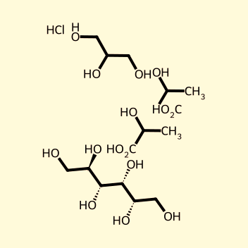 CC(O)C(=O)O.CC(O)C(=O)O.Cl.OCC(O)CO.OC[C@@H](O)[C@@H](O)[C@H](O)[C@@H](O)CO